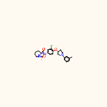 CC(=O)N1CCCCC1C(=O)Nc1ccc(OC2CCN(c3cccc(C)c3)CC2)c(Cl)c1